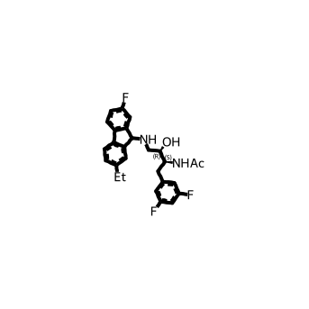 CCc1ccc2c(c1)C(NC[C@@H](O)[C@H](Cc1cc(F)cc(F)c1)NC(C)=O)c1cc(F)ccc1-2